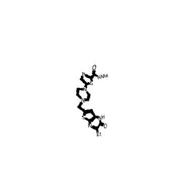 CCc1nc2sc(CN3CCN(c4cnc(C(=O)NC)s4)CC3)cc2[nH]c1=O